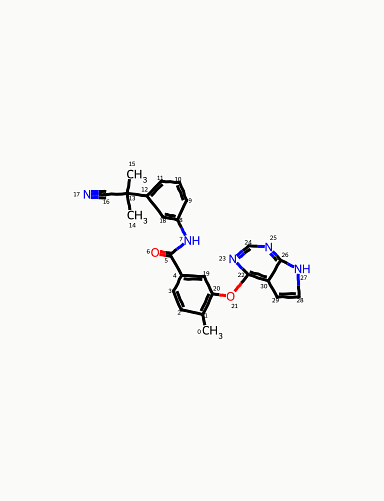 Cc1ccc(C(=O)Nc2cccc(C(C)(C)C#N)c2)cc1Oc1ncnc2[nH]ccc12